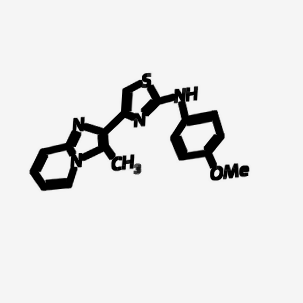 COc1ccc(Nc2nc(-c3nc4ccccn4c3C)cs2)cc1